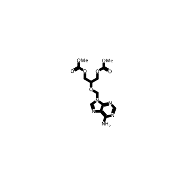 COC(=O)OCC(COC(=O)OC)OCn1cnc2c(N)ncnc21